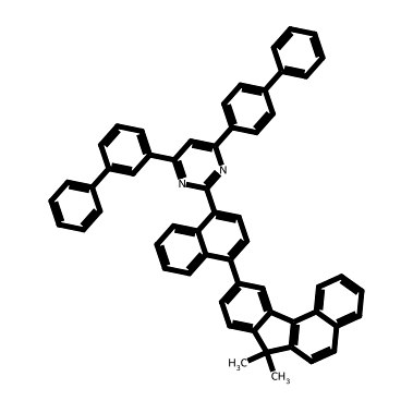 CC1(C)c2ccc(-c3ccc(-c4nc(-c5ccc(-c6ccccc6)cc5)cc(-c5cccc(-c6ccccc6)c5)n4)c4ccccc34)cc2-c2c1ccc1ccccc21